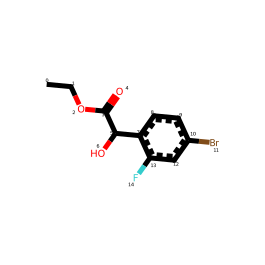 CCOC(=O)C(O)c1ccc(Br)cc1F